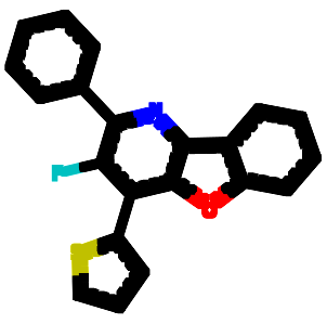 Fc1c(-c2ccccc2)nc2c(oc3ccccc32)c1-c1cccs1